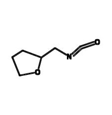 O=C=NCC1CCCO1